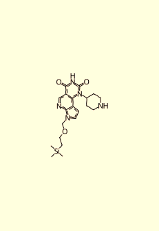 C[Si](C)(C)CCOCn1ccc2c1ncc1c(=O)[nH]c(=O)n(C3CCNCC3)c12